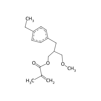 C=C(C)C(=O)OCC(COC)Cc1ccc(CC)cc1